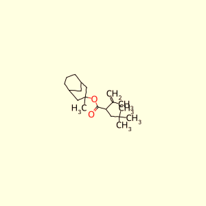 C=C(C)C(CC(C)(C)C)C(=O)OC1(C)CC2CCCC(C2)C1